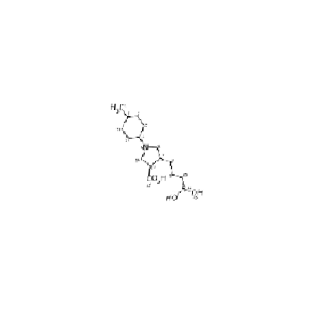 CC1CCC(N2CC(CCCB(O)O)C(C(=O)O)C2)CC1